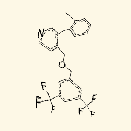 Cc1ccccc1-c1cnccc1COCc1cc(C(F)(F)F)cc(C(F)(F)F)c1